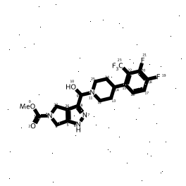 COC(=O)N1Cc2[nH]nc(C(O)N3CCC(c4ccc(F)c(F)c4C(F)(F)F)CC3)c2C1